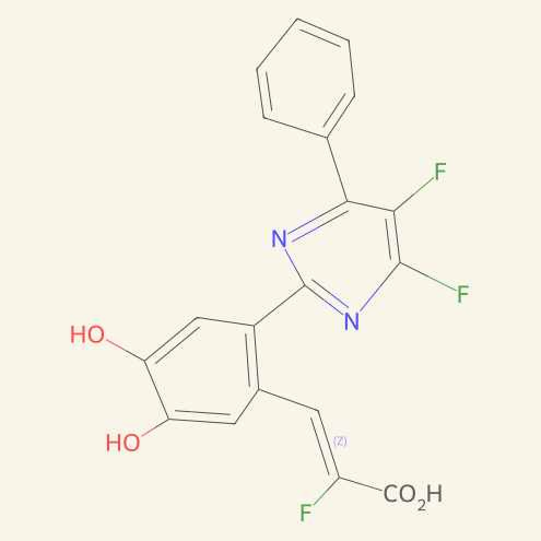 O=C(O)/C(F)=C/c1cc(O)c(O)cc1-c1nc(F)c(F)c(-c2ccccc2)n1